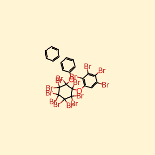 Brc1cc(OC2(Br)C(Br)(Br)C(Br)(Br)C(Br)(Br)C(Br)(Br)C2(Br)Oc2ccccc2)c(Br)c(Br)c1Br.c1ccccc1